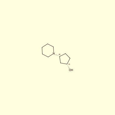 O[C@H]1CC[C@@H](N2CCCCC2)C1